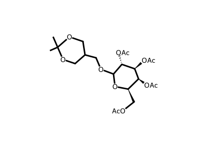 CC(=O)OC[C@H]1OC(OCC2COC(C)(C)OC2)[C@H](OC(C)=O)[C@@H](OC(C)=O)[C@H]1OC(C)=O